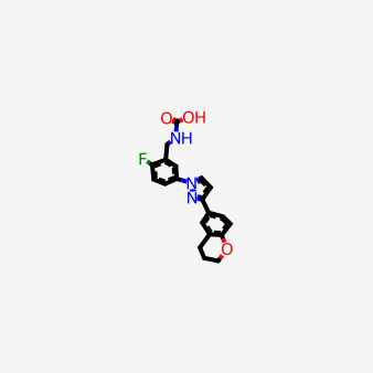 O=C(O)NCc1cc(-n2ccc(-c3ccc4c(c3)CCCO4)n2)ccc1F